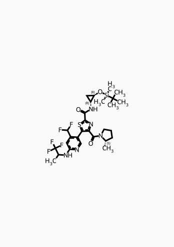 CC(Nc1cc(C(F)F)c(-c2sc(C(=O)N[C@@H]3C[C@H]3O[Si](C)(C)C(C)(C)C)nc2C(=O)N2CCC[C@@H]2C)cn1)C(F)(F)F